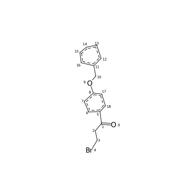 O=C(CCBr)c1ccc(OCc2ccccc2)cc1